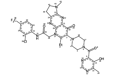 CCc1c(N2CCN(C(=O)c3ncnc(C)c3O)CC2)c(=O)c2nc3c(nc2n1CC(=O)Nc1ccc(C(F)(F)F)cc1Cl)CCN3C